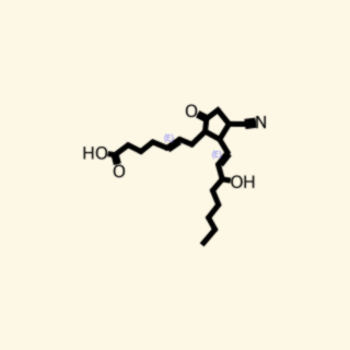 CCCCCC(O)/C=C/C1C(C#N)CC(=O)C1C/C=C/CCCC(=O)O